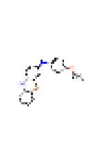 COc1ccc(N=c2ccc3nc4ccccc4sc-3c2)cc1